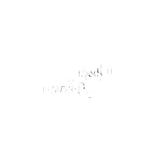 CCNC(=O)Nc1ccc(-c2sc3c(c2CN(C)CCOC)c(=O)n(-c2ccc(C(=O)NC)cc2)c(=O)n3Cc2c(F)cccc2F)cc1